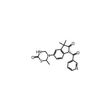 CC1SC(=O)NCN1c1ccc2c(c1)C(C)(C)C(=O)N2C(=O)c1cccnc1